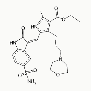 CCOC(=O)c1c(C)[nH]c(C=C2C(=O)Nc3ccc(S(N)(=O)=O)cc32)c1CCCN1CCOCC1